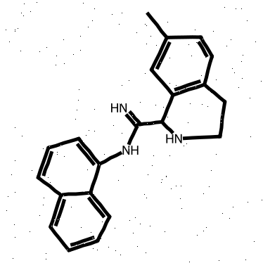 Cc1ccc2c(c1)C(C(=N)Nc1cccc3ccccc13)NCC2